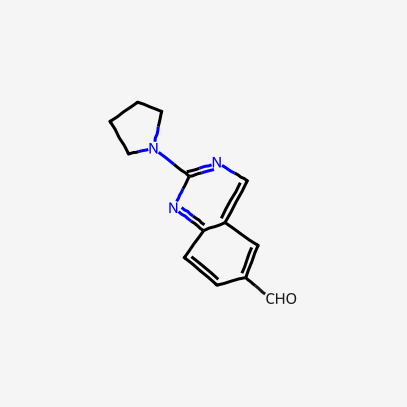 O=Cc1ccc2nc(N3CCCC3)ncc2c1